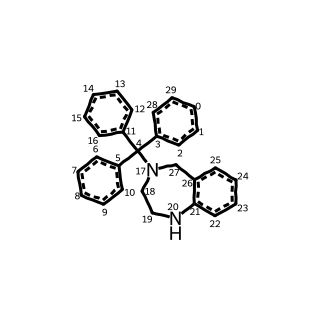 c1ccc(C(c2ccccc2)(c2ccccc2)N2CCNc3ccccc3C2)cc1